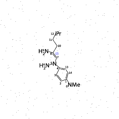 CNc1ccc(N(N)/C=C(\N)CCC(C)C)cc1